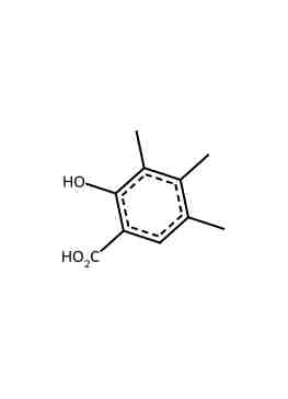 Cc1cc(C(=O)O)c(O)c(C)c1C